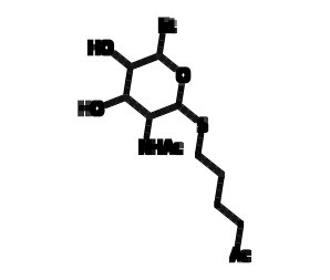 CCC1OC(SCCCCC(C)=O)C(NC(C)=O)C(O)C1O